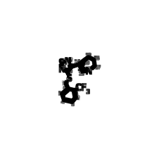 FC(F)(F)c1ccccc1CSc1nsnc1C1CN2CCCC1C2